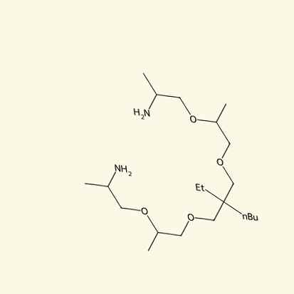 CCCCC(CC)(COCC(C)OCC(C)N)COCC(C)OCC(C)N